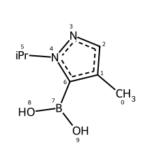 Cc1cnn(C(C)C)c1B(O)O